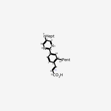 CCCCCCCc1cnc(-c2ccc(/C=C/C(=O)O)c(C(C)CCC)c2)nc1